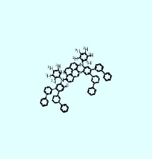 [2H]c1c([2H])c([2H])c(N(c2cc(-c3cccc(-c4ccccc4)c3)c(-c3cccc(-c4ccccc4)c3)cc2F)c2ccc3ccc4c(N(c5cc(-c6cccc(-c7ccccc7)c6)c(-c6cccc(-c7ccccc7)c6)cc5F)c5c([2H])c([2H])c([2H])c([2H])c5[2H])ccc5ccc2c3c54)c([2H])c1[2H]